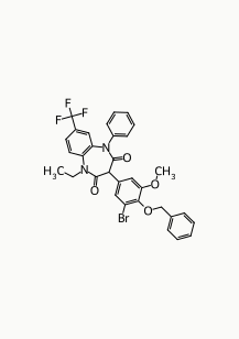 CCN1C(=O)C(c2cc(Br)c(OCc3ccccc3)c(OC)c2)C(=O)N(c2ccccc2)c2cc(C(F)(F)F)ccc21